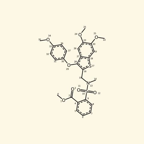 COC(=O)c1ccccc1S(=O)(=O)N(C)Cc1sc2cc(OC)c(OC)cc2c1Oc1ccc(OC)cc1